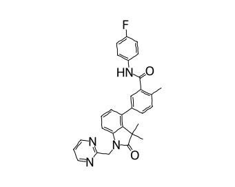 Cc1ccc(-c2cccc3c2C(C)(C)C(=O)N3Cc2ncccn2)cc1C(=O)Nc1ccc(F)cc1